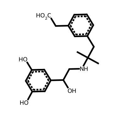 CC(C)(Cc1cccc(CC(=O)O)c1)NCC(O)c1cc(O)cc(O)c1